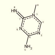 Cn1cnc(N)nc1=N